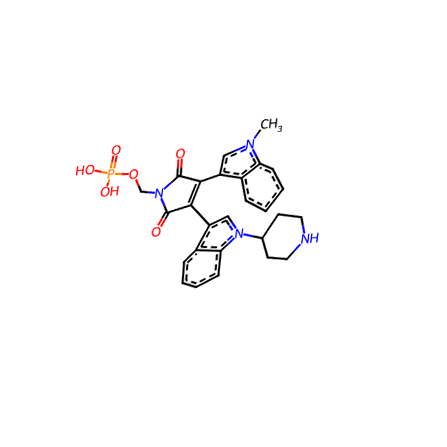 Cn1cc(C2=C(c3cn(C4CCNCC4)c4ccccc34)C(=O)N(COP(=O)(O)O)C2=O)c2ccccc21